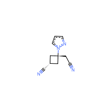 N#CC[C@]1(n2cccn2)C[C@@H](C#N)C1